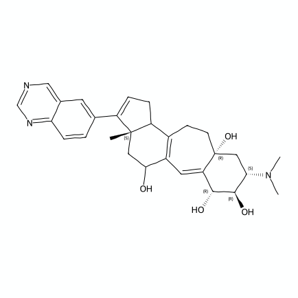 CN(C)[C@H]1C[C@]2(O)CCC3=C(C=C2[C@@H](O)[C@@H]1O)C(O)C[C@]1(C)C(c2ccc4ncncc4c2)=CCC31